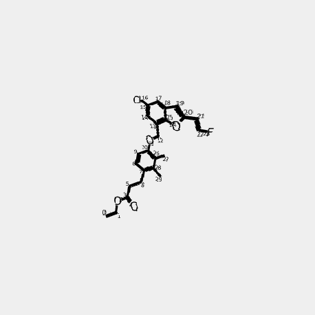 CCOC(=O)CCc1ccc(OCc2cc(Cl)cc3cc(C=CF)oc23)c(C)c1C